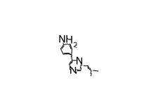 CC(C)=Cc1cncc(-c2ccc(N)cc2)n1